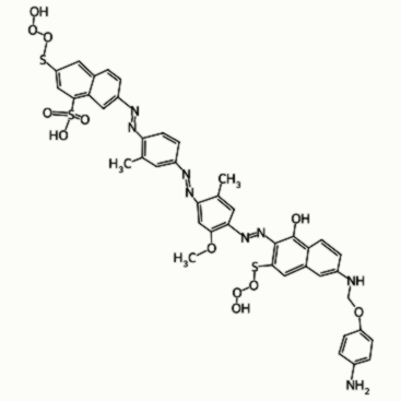 COc1cc(N=Nc2ccc(N=Nc3ccc4cc(SOOO)cc(S(=O)(=O)O)c4c3)c(C)c2)c(C)cc1N=Nc1c(SOOO)cc2cc(NCOc3ccc(N)cc3)ccc2c1O